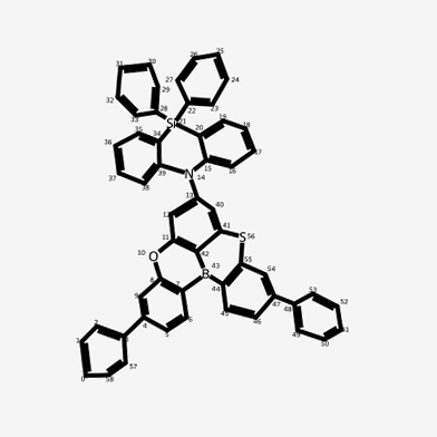 c1ccc(-c2ccc3c(c2)Oc2cc(N4c5ccccc5[Si](c5ccccc5)(c5ccccc5)c5ccccc54)cc4c2B3c2ccc(-c3ccccc3)cc2S4)cc1